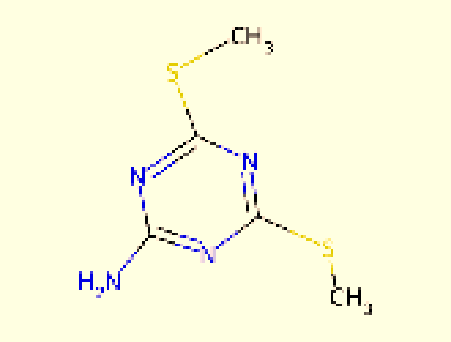 CSc1nc(N)nc(SC)n1